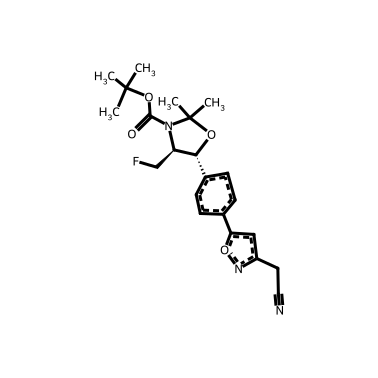 CC(C)(C)OC(=O)N1[C@H](CF)[C@@H](c2ccc(-c3cc(CC#N)no3)cc2)OC1(C)C